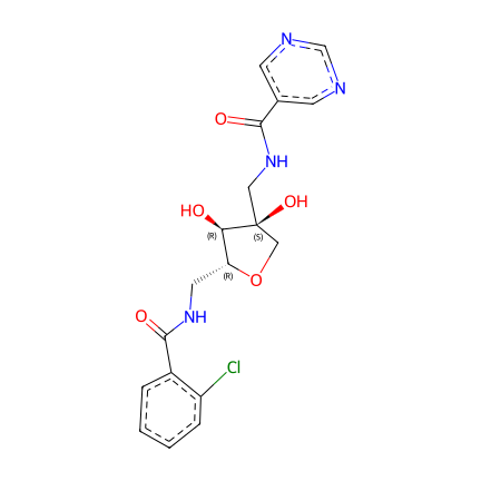 O=C(NC[C@]1(O)CO[C@H](CNC(=O)c2ccccc2Cl)[C@H]1O)c1cncnc1